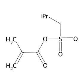 C=C(C)C(=O)OS(=O)(=O)CC(C)C